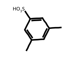 Cc1cc(C)cc(S(=O)(=O)O)c1